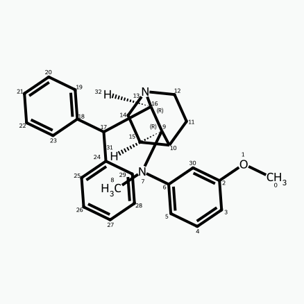 COc1cccc(N(C)[C@@H]2C3CCN(CC3)[C@@H]2C(c2ccccc2)c2ccccc2)c1